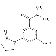 CN(C)C(=O)c1cc(C(=O)O)cc(N2CCCC2=O)c1